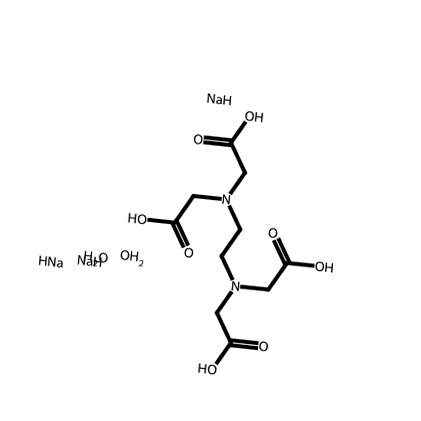 O.O.O=C(O)CN(CCN(CC(=O)O)CC(=O)O)CC(=O)O.[NaH].[NaH].[NaH]